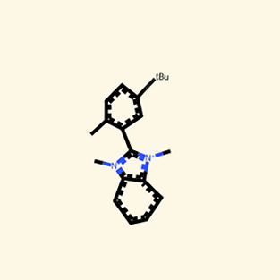 Cc1ccc(C(C)(C)C)cc1-c1n(C)c2ccccc2[n+]1C